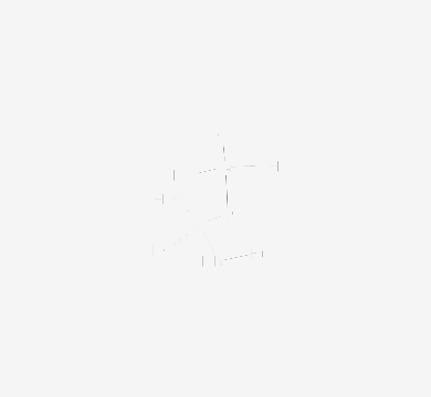 CCB[Si](C)(C)O[Si](C)(C)C